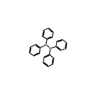 c1cc[c]([Bi]([c]2ccccc2)[Bi]([c]2ccccc2)[c]2ccccc2)cc1